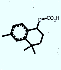 Cc1ccc2c(c1)C(C)(C)CCC2OC(=O)O